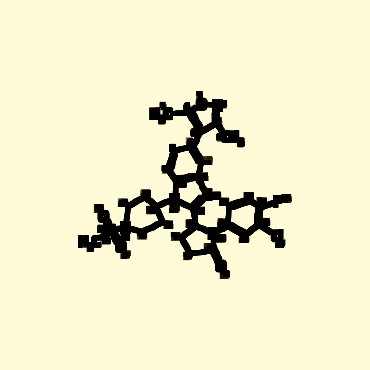 Cc1noc(C)c1-c1ccc2c(c1)nc([C@@H]1CCC(=O)N1c1ccc(F)c(Cl)c1)n2C1CCN(S(C)(=O)=O)CC1